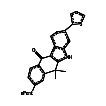 CCCCCc1ccc2c(c1)C(C)(C)c1[nH]c3cc(-c4cccs4)ccc3c1C2=O